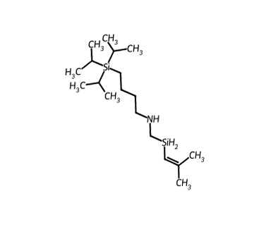 CC(C)=C[SiH2]CNCCCC[Si](C(C)C)(C(C)C)C(C)C